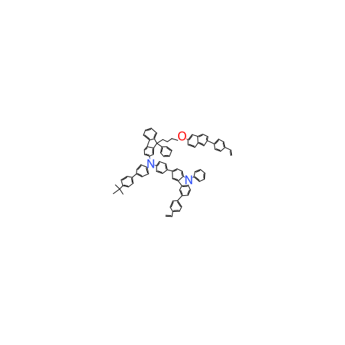 C=Cc1ccc(-c2ccc3cc(OCCCCC4(c5ccccc5)c5ccccc5-c5ccc(N(c6ccc(-c7ccc(C(C)(C)C)cc7)cc6)c6ccc(-c7ccc8c(c7)c7cc(-c9ccc(C=C)cc9)ccc7n8-c7ccccc7)cc6)cc54)ccc3c2)cc1